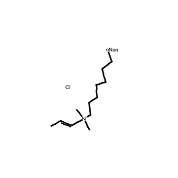 CC=C[N+](C)(C)CCCCCCCCCCCCCCCC.[Cl-]